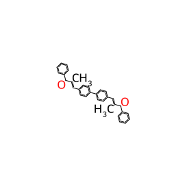 C/C(=C\c1ccc(-c2ccc(/C=C(\C)C(=O)c3ccccc3)cc2)cc1)C(=O)c1ccccc1